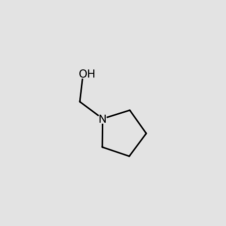 OCN1CCCC1